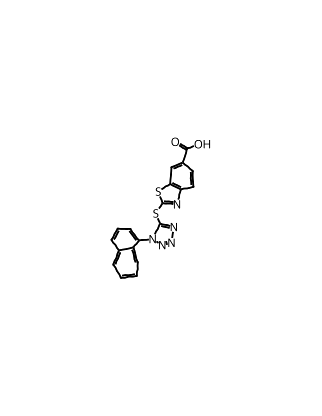 O=C(O)c1ccc2nc(Sc3nnnn3-c3cccc4ccccc34)sc2c1